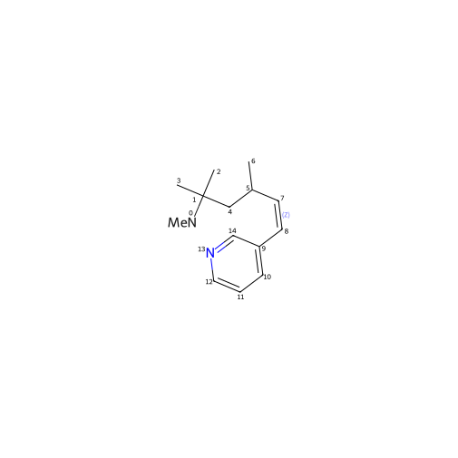 CNC(C)(C)CC(C)/C=C\c1cccnc1